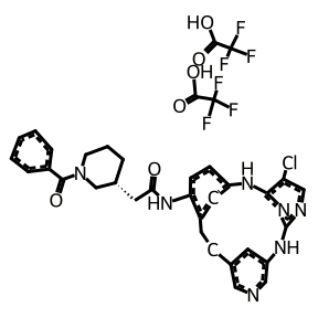 O=C(C[C@H]1CCCN(C(=O)c2ccccc2)C1)Nc1ccc2cc1CCc1cncc(c1)Nc1ncc(Cl)c(n1)N2.O=C(O)C(F)(F)F.O=C(O)C(F)(F)F